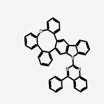 c1ccc(-c2nc(-n3c4ccccc4c4cc5c6ccccc6oc6ccccc6c6ccccc6c5cc43)nc3ccccc23)cc1